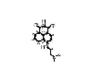 CN(C)CCNc1ccc2c3c(cccc13)C(=O)NC2=O